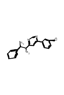 NC(c1ccccc1)C(N)c1cc(-c2cccc(Cl)c2)ncn1